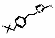 Cc1ncn(CCc2ccc(OC(F)(F)F)cc2)n1